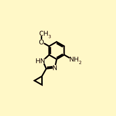 COc1ccc(N)c2nc(C3CC3)[nH]c12